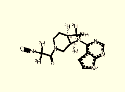 [2H]C([2H])([N+]#[C-])C(=O)N1CC[C@@]([2H])(C([2H])([2H])[2H])[C@@]([2H])(N(C)c2ncnc3[nH]ccc23)C1